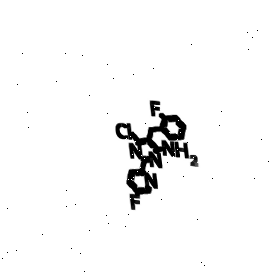 Nc1nc(-c2ccc(F)cn2)nc(Cl)c1Cc1ccccc1F